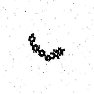 Cc1nc2nc(C)c(CC3CCN(c4ccc(-c5ncc(CN6CCN(C)CC6)cn5)cc4)C3)c(C)n2n1